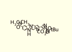 CN(C)C(=O)c1ccc(Nc2cc3c(cn2)cc(-c2cnn(C(=O)OC(C)(C)C)c2)n3C(=O)O)cc1